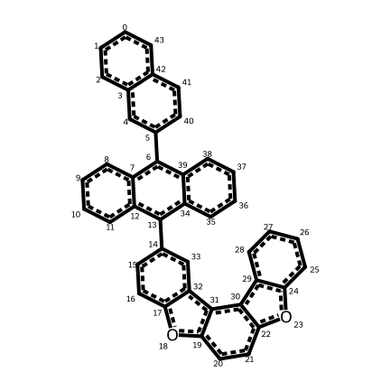 c1ccc2cc(-c3c4ccccc4c(-c4ccc5oc6ccc7oc8ccccc8c7c6c5c4)c4ccccc34)ccc2c1